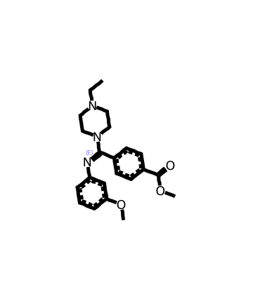 CCN1CCN(/C(=N/c2cccc(OC)c2)c2ccc(C(=O)OC)cc2)CC1